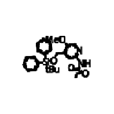 COc1cnc(NS(C)(=O)=O)cc1CO[Si](c1ccccc1)(c1ccccc1)C(C)(C)C